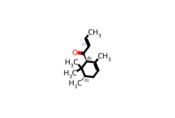 C/C=C/C(=O)[C@H]1C(C)=CC[C@H](C)C1(C)C